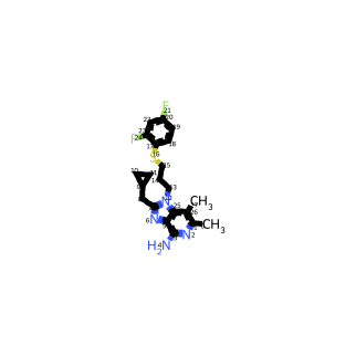 Cc1nc(N)c2nc(CC3CC3)n(CCCSc3ccc(F)cc3F)c2c1C